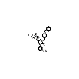 CS(=O)(=O)NCC1CN(CC2CCN(Cc3ccccc3)CC2)C(=O)N(c2cccc(C#N)c2)C1